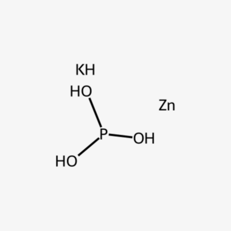 OP(O)O.[KH].[Zn]